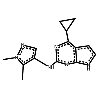 Cc1c(Nc2nc(C3CC3)c3cc[nH]c3n2)cnn1C